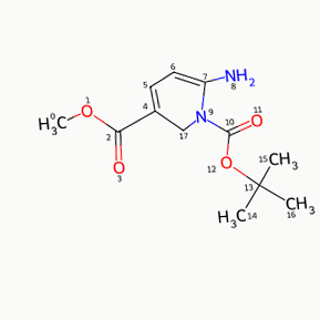 COC(=O)C1=CC=C(N)N(C(=O)OC(C)(C)C)C1